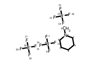 CN1CCCCC1.F[B-](F)(F)F.F[B-](F)(F)F.F[B-](F)(F)F